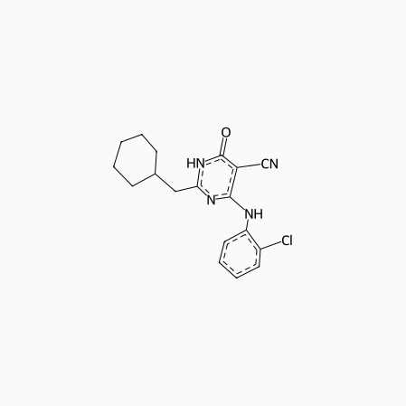 N#Cc1c(Nc2ccccc2Cl)nc(CC2CCCCC2)[nH]c1=O